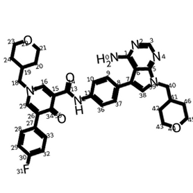 Nc1ncnc2c1c(-c1ccc(NC(=O)c3cn(CC4CCOCC4)cc(-c4ccc(F)cc4)c3=O)cc1)cn2CC1CCOCC1